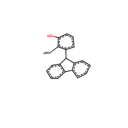 CCCCCCCCCc1c(O)cccc1C1c2ccccc2-c2ccccc21